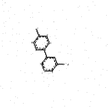 Cc1ccc(-c2cncc(F)c2)cc1